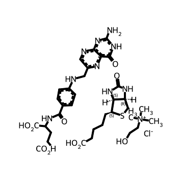 C[N+](C)(C)CCO.Nc1nc2ncc(CNc3ccc(C(=O)NC(CCC(=O)O)C(=O)O)cc3)nc2c(=O)[nH]1.O=C(O)CCCC[C@@H]1SC[C@@H]2NC(=O)N[C@@H]21.[Cl-]